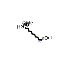 CCCCCCCC/C=C\CCCCCCCCP(=O)(O)OC